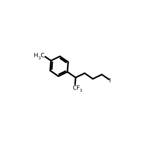 Cc1ccc(C(CCCI)C(F)(F)F)cc1